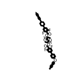 CC1C2C1C21C2C(Oc3ccc(-c4cc(F)c(C(=O)OC5CO[C@H]6[C@@H](OC(=O)c7c(F)cc(C8CCC(C9C%10C9C%109C%10CC%109)CC8)cc7F)CO[C@@H]56)c(F)c4)cc3)C21